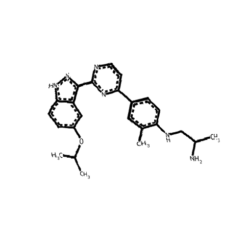 Cc1cc(-c2ccnc(-c3n[nH]c4ccc(OC(C)C)cc34)n2)ccc1NCC(C)N